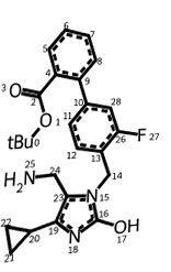 CC(C)(C)OC(=O)c1ccccc1-c1ccc(Cn2c(O)nc(C3CC3)c2CN)c(F)c1